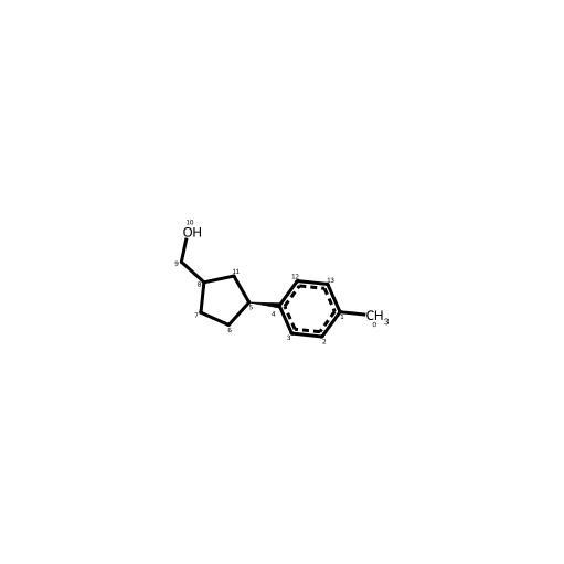 Cc1ccc([C@H]2CCC(CO)C2)cc1